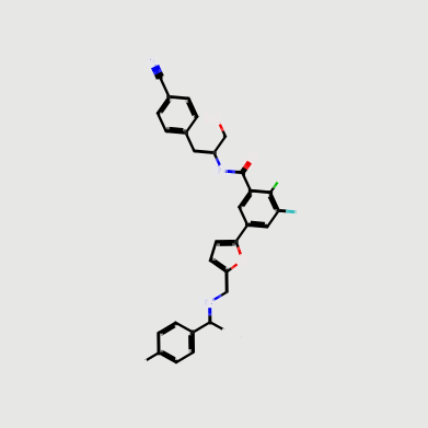 Cc1ccc(C(C)NCc2ccc(-c3cc(F)c(Cl)c(C(=O)NC(CO)Cc4ccc(C#N)cc4)c3)o2)cc1